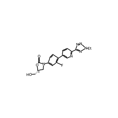 CCn1nnc(-c2ccc(-c3ccc(N4C[C@H](CO)OC4=O)cc3F)cn2)n1